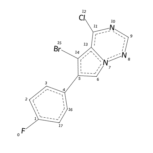 Fc1ccc(-c2cn3ncnc(Cl)c3c2Br)cc1